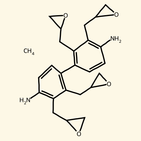 C.Nc1ccc(-c2ccc(N)c(CC3CO3)c2CC2CO2)c(CC2CO2)c1CC1CO1